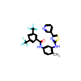 Cc1ccc(NC(=O)c2cc(C(F)(F)F)cc(C(F)(F)F)c2)cc1Nc1nc(-c2cccnc2)cs1